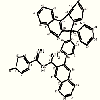 CC1C=CC(C(=N)NC(N)c2cc3ccccc3cc2-c2ccc(C3(c4ccccc4)c4ccccc4-c4c3ccc3ccccc43)cc2)=CC1